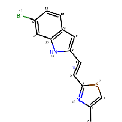 Cc1csc(/C=C/c2cc3ccc(Br)cc3[nH]2)n1